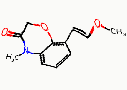 COC=Cc1cccc2c1OCC(=O)N2C